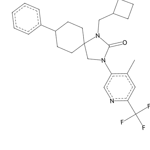 Cc1cc(C(F)(F)F)ncc1N1CC2(CCC(c3ccccc3)CC2)N(CC2CCC2)C1=O